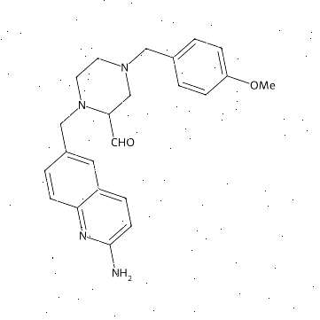 COc1ccc(CN2CCN(Cc3ccc4nc(N)ccc4c3)C(C=O)C2)cc1